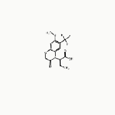 CCC(C(=O)O)N1C(=O)COc2cc(OC)c(C(F)(F)F)cc21